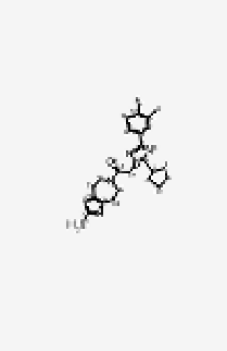 Cc1cc(-c2nc(C3CCCC3)n(CC(=O)N3CCc4nc(N)sc4CC3)n2)ccc1F